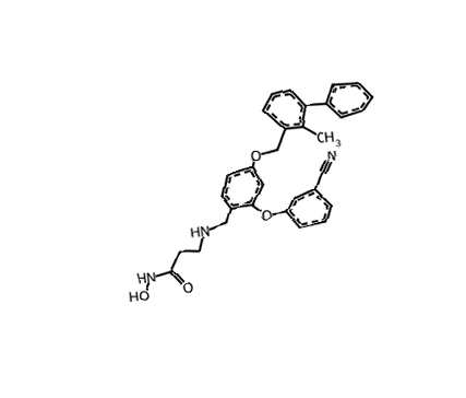 Cc1c(COc2ccc(CNCCC(=O)NO)c(Oc3cccc(C#N)c3)c2)cccc1-c1ccccc1